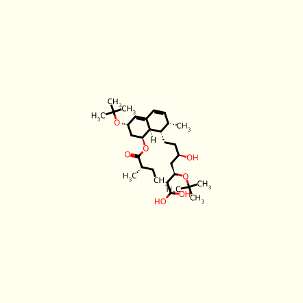 CC[C@H](C)C(=O)O[C@H]1C[C@H](OC(C)(C)C)C=C2C=C[C@H](C)[C@H](CC[C@@H](O)C[C@H](CC(O)O)OC(C)(C)C)[C@H]21